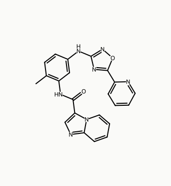 Cc1ccc(Nc2noc(-c3ccccn3)n2)cc1NC(=O)c1cnc2ccccn12